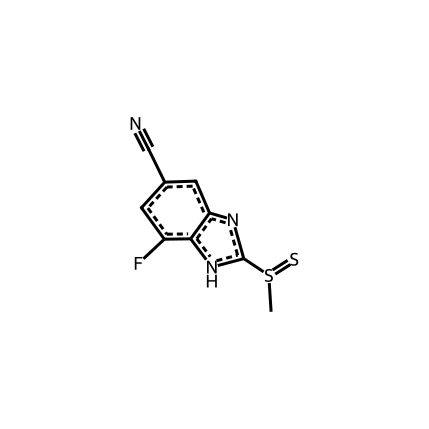 CS(=S)c1nc2cc(C#N)cc(F)c2[nH]1